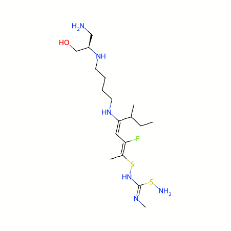 CCC(C)/C(=C\C(F)=C(/C)SN/C(=N/C)SN)NCCCCN[C@H](CN)CO